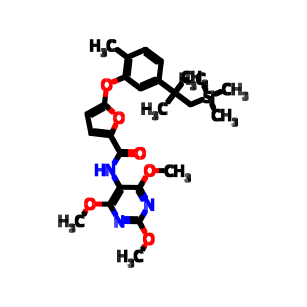 COc1nc(OC)c(NC(=O)c2ccc(Oc3cc(C(C)(C)C[Si](C)(C)C)ccc3C)o2)c(OC)n1